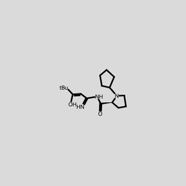 CC(C)(C)/C(O)=C/C(=N)NC(=O)[C@@H]1CCCN1C1CCCC1